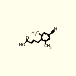 Cc1cc(C#N)cc(C)c1CC=CC(=O)O